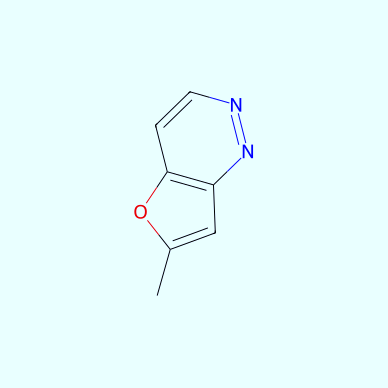 Cc1cc2nnccc2o1